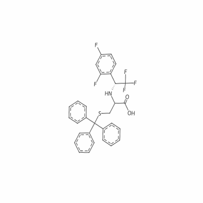 O=C(O)C(CSC(c1ccccc1)(c1ccccc1)c1ccccc1)N[C@H](c1ccc(F)cc1F)C(F)(F)F